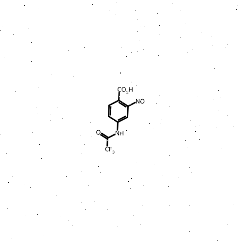 O=Nc1cc(NC(=O)C(F)(F)F)ccc1C(=O)O